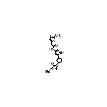 CC[C@H](C)CNC(=O)OC1CCC(c2cc(NC(=O)Cc3cnc(C)s3)n[nH]2)C1